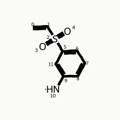 C=CS(=O)(=O)c1cccc([NH])c1